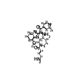 CNC/C=C/C(=O)N1CCCC[C@@H](n2c(N(N)C(=O)c3ccnc(C)c3)nc3cccc(OC)c32)C1